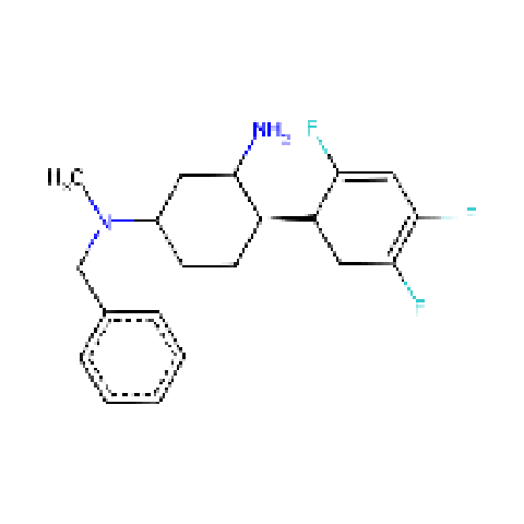 CN(Cc1ccccc1)C1CC[C@H](C2CC(F)=C(F)C=C2F)C(N)C1